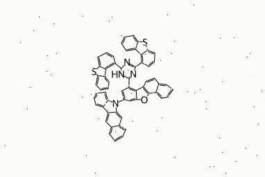 c1ccc2cc3c(cc2c1)c1ccccc1n3-c1cc(C2=NC(c3cccc4sc5ccccc5c34)=NC(c3cccc4sc5ccccc5c34)N2)c2c(c1)oc1c3ccccc3ccc12